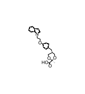 C[C@]1(C(=O)O)OC[C@@H](Cc2ccc(OCCn3ccc4ccccc43)cc2)CO1